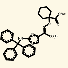 COC(=O)C1(ON=C(C(=O)O)c2csc(NC(c3ccccc3)(c3ccccc3)c3ccccc3)n2)CCCCC1